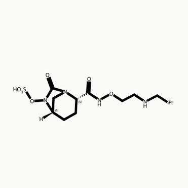 CC(C)CNCCONC(=O)[C@@H]1CC[C@H]2CN1C(=O)N2OS(=O)(=O)O